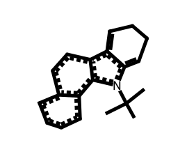 CC(C)(C)n1c2c(c3ccc4ccccc4c31)=CCCC=2